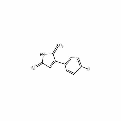 C=c1cc(-c2ccc(Cl)cc2)c(=C)[nH]1